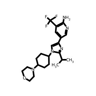 CC(C)c1nc(-c2cnc(N)c(C(F)(F)F)c2)cn1C1CCC(N2CCOCC2)CC1